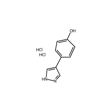 Cl.Cl.Oc1ccc(-c2cn[nH]c2)cc1